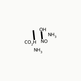 CC(=O)O.N.N.O=NO